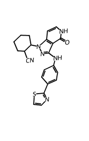 N#CC1CCCCC1n1nc(Nc2ccc(-c3nccs3)cc2)c2c(=O)[nH]ccc21